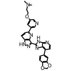 CN(C)CCOc1cncc(-c2ccc3[nH]nc(-c4nc5c(-c6ccc7c(c6)OCO7)ccnc5[nH]4)c3n2)c1